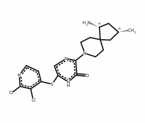 C[C@H]1C[C@@H](N)C2(CCN(c3ncc(Sc4ccnc(Cl)c4Cl)[nH]c3=O)CC2)C1